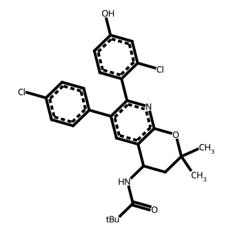 CC1(C)CC(NC(=O)C(C)(C)C)c2cc(-c3ccc(Cl)cc3)c(-c3ccc(O)cc3Cl)nc2O1